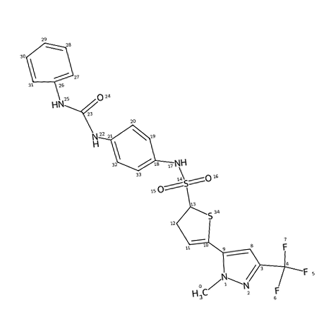 Cn1nc(C(F)(F)F)cc1C1=CCC(S(=O)(=O)Nc2ccc(NC(=O)Nc3ccccc3)cc2)S1